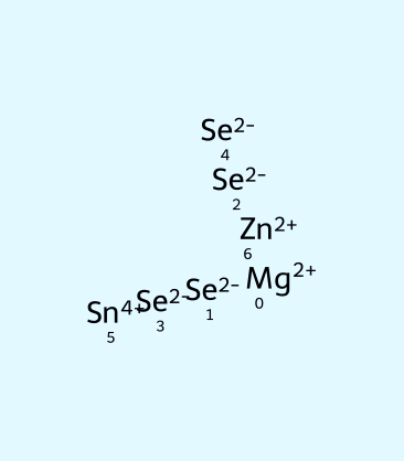 [Mg+2].[Se-2].[Se-2].[Se-2].[Se-2].[Sn+4].[Zn+2]